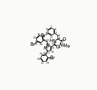 CNC(=O)[C@H](Cc1cccc(Br)c1)NC(=O)c1cc(-c2ccccc2Br)nn1Cc1cccc(Br)c1